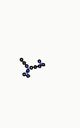 c1ccc(-c2ccc(-c3ccc(N(c4ccc(-c5ccc(-c6ccc7c8ccccc8n(-c8ccccc8)c7c6)cc5)cc4)c4ccc(-n5c6ccccc6c6ccccc65)cc4)cc3)cc2)cc1